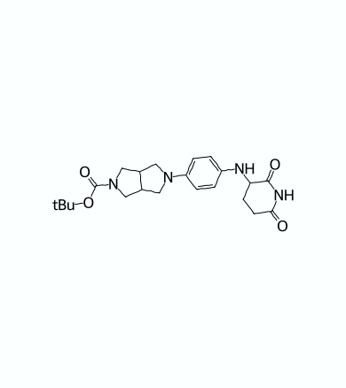 CC(C)(C)OC(=O)N1CC2CN(c3ccc(NC4CCC(=O)NC4=O)cc3)CC2C1